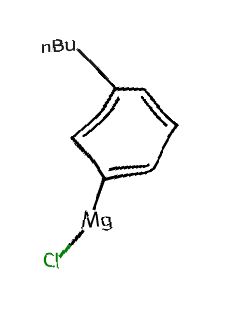 CCCCc1ccc[c]([Mg][Cl])c1